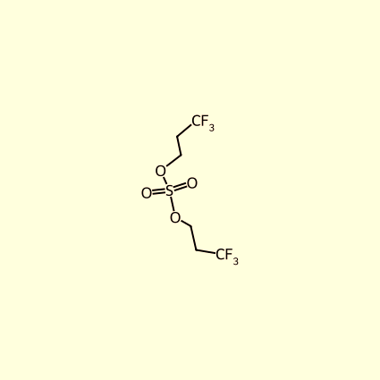 O=S(=O)(OCCC(F)(F)F)OCCC(F)(F)F